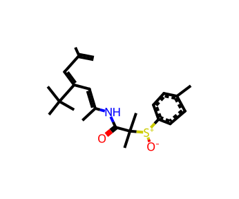 C=C(C)/C=C(\C=C(/C)NC(=O)C(C)(C)[S+]([O-])c1ccc(C)cc1)C(C)(C)C